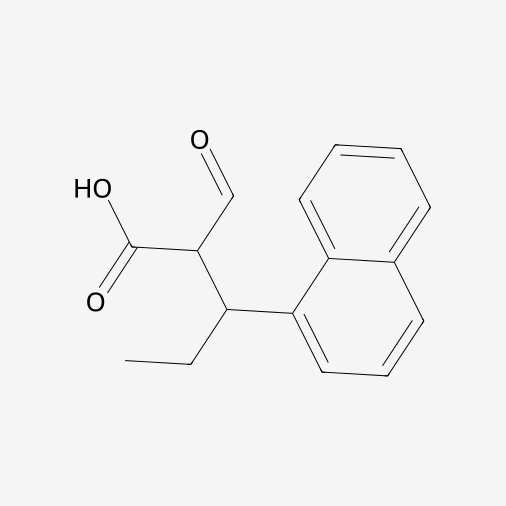 CCC(c1cccc2ccccc12)C(C=O)C(=O)O